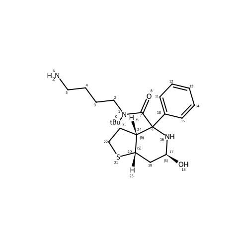 CC(C)(C)N(CCCCN)C(=O)C1(c2ccccc2)N[C@@H](O)C[C@@H]2SCC[C@@H]21